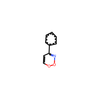 C1=CC(c2ccccc2)=NOO1